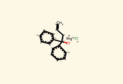 C=CCC([O-])(c1ccccc1)c1ccccc1.[Cl-].[Mg+2]